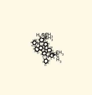 C[SiH](C)c1ccc(N(c2ccccc2)c2ccc3c(c2)C2(c4ccccc4-c4ccccc42)c2cc(N(c4ccccc4)c4ccc([Si](C)(C)C)cc4)c4ccccc4c2-3)cc1